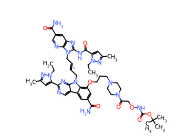 CCn1nc(C)cc1C(=O)Nc1nc2cc(C(N)=O)cnc2n1C/C=C/Cn1c2nc(-c3cc(C)nn3CC)ncc2c2cc(C(N)=O)cc(OCCCN3CCN(C(=O)CONC(=O)OC(C)(C)C)CC3)c21